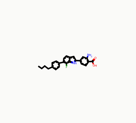 CCCCc1ccc(-c2ccc3cc(-c4ccc(C(=O)O)c(N)c4)[nH]c3c2F)cc1